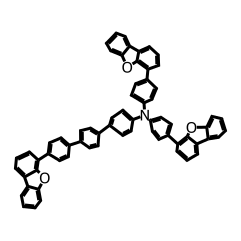 c1ccc2c(c1)oc1c(-c3ccc(-c4ccc(-c5ccc(N(c6ccc(-c7cccc8c7oc7ccccc78)cc6)c6ccc(-c7cccc8c7oc7ccccc78)cc6)cc5)cc4)cc3)cccc12